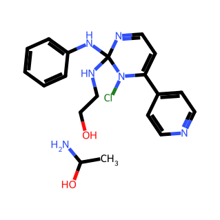 CC(N)O.OCCNC1(Nc2ccccc2)N=CC=C(c2ccncc2)N1Cl